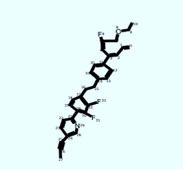 C=C/C=C(\C=C(\F)COCC)c1ccc(CCc2ccc(-c3ccc(C#CC)cn3)c(F)c2F)cc1